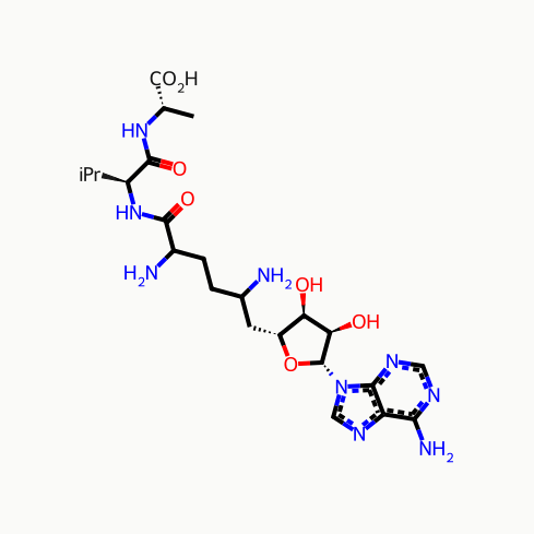 CC(C)[C@H](NC(=O)C(N)CCC(N)C[C@H]1O[C@@H](n2cnc3c(N)ncnc32)[C@H](O)[C@@H]1O)C(=O)N[C@@H](C)C(=O)O